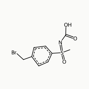 CS(=O)(=NC(=O)O)c1ccc(CBr)cc1